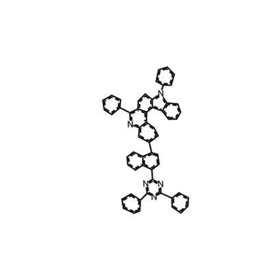 c1ccc(-c2nc(-c3ccccc3)nc(-c3ccc(-c4ccc5c(c4)nc(-c4ccccc4)c4ccc6c(c7ccccc7n6-c6ccccc6)c45)c4ccccc34)n2)cc1